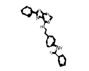 O=C(Nc1ccc(CCNc2ncnc3oc(-c4ccccc4)nc23)cc1)c1ccccc1